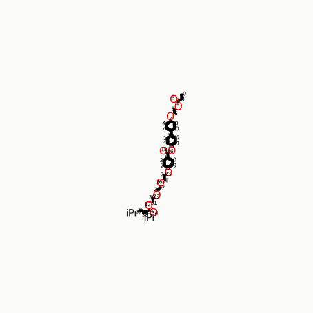 C=CC(=O)OCCOc1ccc(-c2ccc(OC(=O)c3ccc(OCCOCCOCCOC(=O)[C@@H](CC(C)C)C(C)C)cc3)cc2)cc1